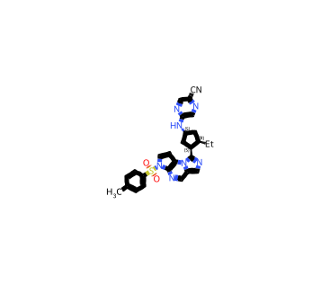 CC[C@@H]1C[C@H](Nc2cnc(C#N)cn2)C[C@@H]1c1ncc2cnc3c(ccn3S(=O)(=O)c3ccc(C)cc3)n12